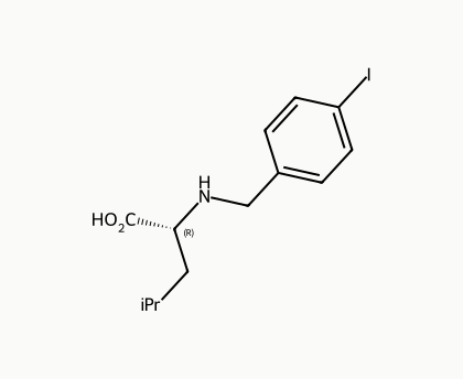 CC(C)C[C@@H](NCc1ccc(I)cc1)C(=O)O